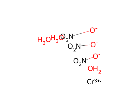 O.O.O.O=[N+]([O-])[O-].O=[N+]([O-])[O-].O=[N+]([O-])[O-].[Cr+3]